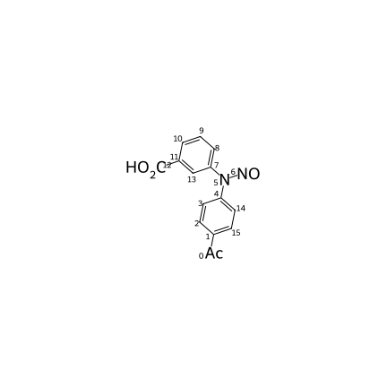 CC(=O)c1ccc(N(N=O)c2cccc(C(=O)O)c2)cc1